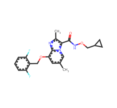 Cc1cc(OCc2c(F)cccc2F)c2nc(C)c(C(=O)NOCC3CC3)n2c1